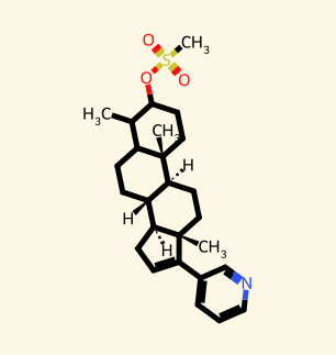 CC1C(OS(C)(=O)=O)CC[C@@]2(C)C1CC[C@@H]1[C@@H]2CC[C@]2(C)C(c3cccnc3)=CC[C@@H]12